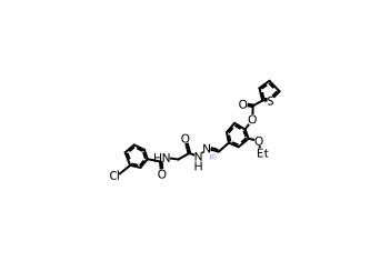 CCOc1cc(/C=N/NC(=O)CNC(=O)c2cccc(Cl)c2)ccc1OC(=O)c1cccs1